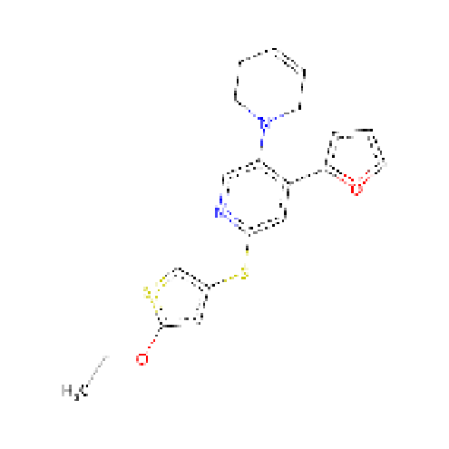 CCOc1cc(Sc2cc(-c3ccco3)c(N3CC=CCC3)cn2)cs1